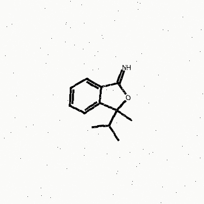 CC(C)C1(C)OC(=N)c2ccccc21